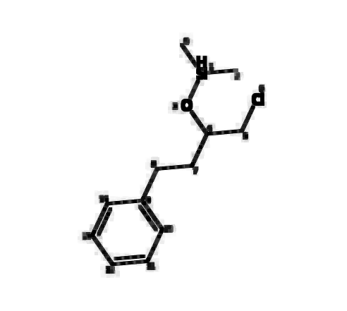 C[SiH](C)OC(CCl)CCc1ccccc1